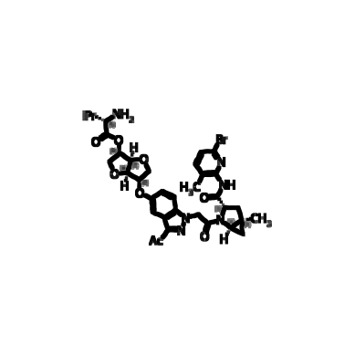 CC(=O)c1nn(CC(=O)N2[C@H](C(=O)Nc3nc(Br)ccc3C)C[C@@]3(C)C[C@@H]23)c2ccc(O[C@@H]3CO[C@H]4[C@@H]3OC[C@H]4OC(=O)[C@@H](N)C(C)C)cc12